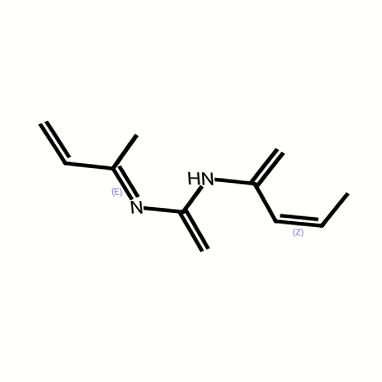 C=C/C(C)=N/C(=C)NC(=C)/C=C\C